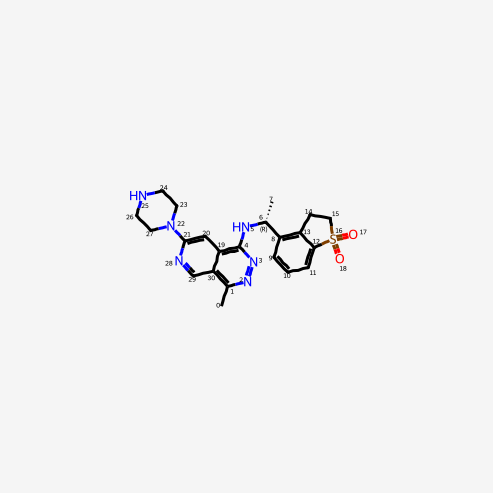 Cc1nnc(N[C@H](C)c2cccc3c2CCS3(=O)=O)c2cc(N3CCNCC3)ncc12